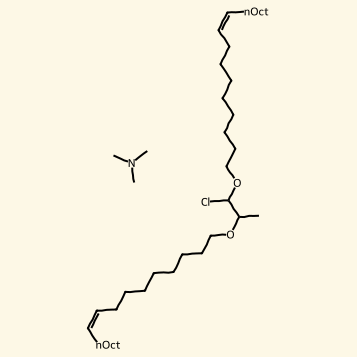 CCCCCCCC/C=C\CCCCCCCCOC(C)C(Cl)OCCCCCCCC/C=C\CCCCCCCC.CN(C)C